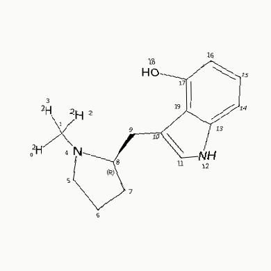 [2H]C([2H])([2H])N1CCC[C@@H]1Cc1c[nH]c2cccc(O)c12